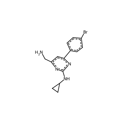 NCc1cc(-c2ccc(Br)cc2)nc(NC2CC2)n1